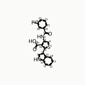 O=C(Nc1csc(-c2c[nH]c3ccccc23)c1C(=O)O)c1cccc(F)c1